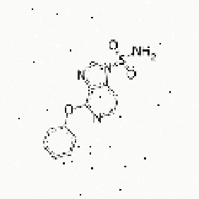 NS(=O)(=O)n1cnc2c(Oc3ccccc3)nccc21